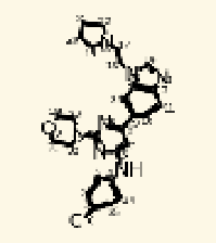 Clc1ccc(Nc2cc(-c3ccc4ncn(CCN5CCCC5)c4c3)nc(N3CCOCC3)n2)cc1